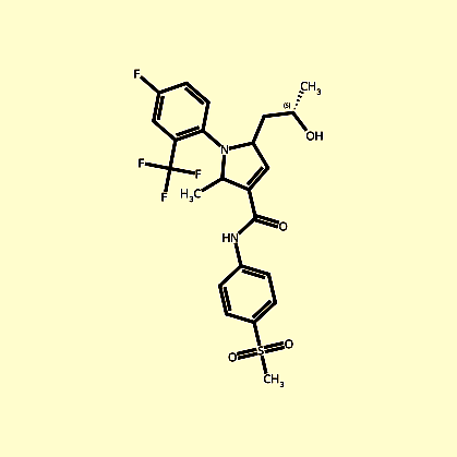 CC1C(C(=O)Nc2ccc(S(C)(=O)=O)cc2)=CC(C[C@H](C)O)N1c1ccc(F)cc1C(F)(F)F